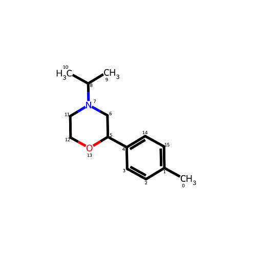 Cc1ccc(C2CN(C(C)C)CCO2)cc1